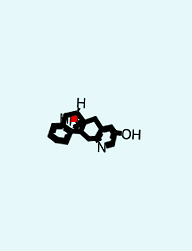 Oc1cnc2c(c1)C[C@H]1[C@H]3Cc4ccccc4[C@@]1(CCN3)C2